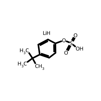 CC(C)(C)c1ccc(OS(=O)(=O)O)cc1.[LiH]